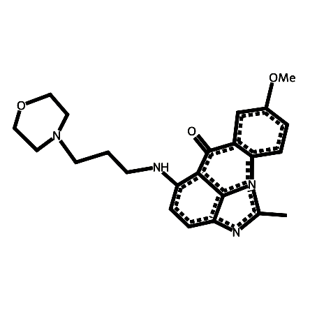 COc1ccc2c(c1)c(=O)c1c(NCCCN3CCOCC3)ccc3nc(C)n2c31